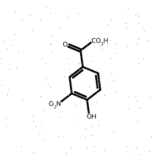 O=C(O)C(=O)c1ccc(O)c([N+](=O)[O-])c1